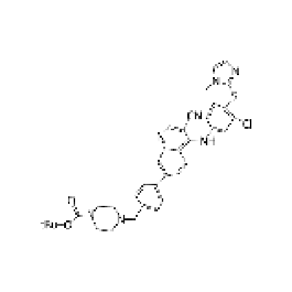 Cn1ccnc1Sc1ccc(Nc2c(C#N)cnc3cc(-c4ccc(CN5CCN(C(=O)OC(C)(C)C)CC5)cc4)ccc23)cc1Cl